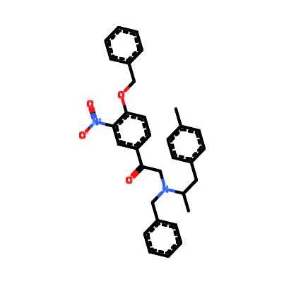 Cc1ccc(CC(C)N(CC(=O)c2ccc(OCc3ccccc3)c([N+](=O)[O-])c2)Cc2ccccc2)cc1